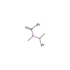 C=C(C(C)C)P(C)C(C)C(C)C